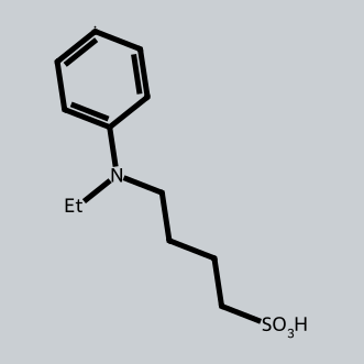 CCN(CCCCS(=O)(=O)O)c1cc[c]cc1